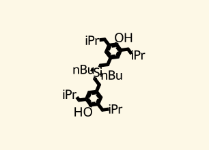 CCCC[Si](CCCC)(CCc1cc(CC(C)C)c(O)c(CC(C)C)c1)CCc1cc(CC(C)C)c(O)c(CC(C)C)c1